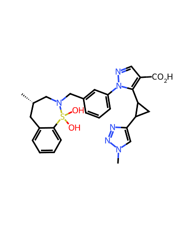 C[C@H]1Cc2ccccc2S(O)(O)N(Cc2cccc(-n3ncc(C(=O)O)c3C3CC3c3cn(C)nn3)c2)C1